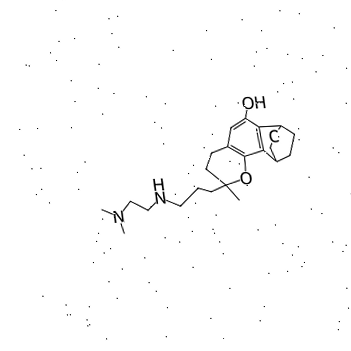 CN(C)CCNCCCC1(C)CCc2cc(O)c3c(c2O1)C1CCC3CC1